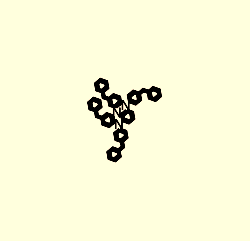 c1ccc(Cc2ccc(N3c4ccc(Cc5ccccc5)cc4N4c5cc(Cc6ccccc6)ccc5N(c5ccc(Cc6ccccc6)cc5)c5cccc3c54)cc2)cc1